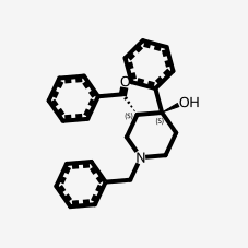 O=C(c1ccccc1)[C@H]1CN(Cc2ccccc2)CC[C@@]1(O)c1ccccc1